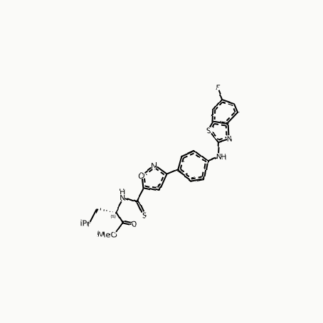 COC(=O)[C@H](CC(C)C)NC(=S)c1cc(-c2ccc(Nc3nc4ccc(F)cc4s3)cc2)no1